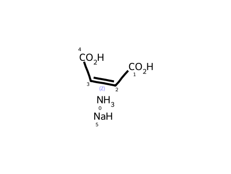 N.O=C(O)/C=C\C(=O)O.[NaH]